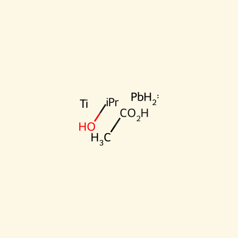 CC(=O)O.CC(C)O.[PbH2].[Ti]